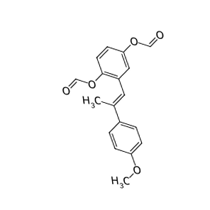 COc1ccc(/C(C)=C/c2cc(OC=O)ccc2OC=O)cc1